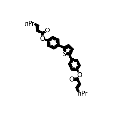 CCCC=CC(=O)Oc1ccc(-c2ccc(-c3ccc(OC(=O)C=CCCC)cc3)s2)cc1